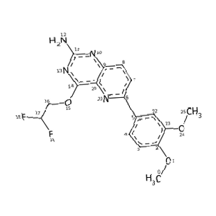 COc1ccc(-c2ccc3nc(N)nc(OCC(F)F)c3n2)cc1OC